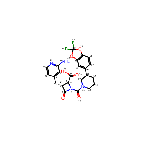 Nc1cc(C[C@H]2C(=O)N(C(=O)N3CCCC(c4ccc5c(c4)OC(F)(F)O5)C3)[C@@H]2C(=O)O)ccn1